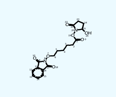 O=C(CCCCCON1C(=O)c2ccccc2C1=O)ON1C(=O)CCC1O